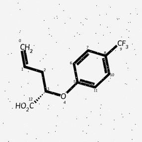 C=CC[C@H](Oc1ccc(C(F)(F)F)cc1)C(=O)O